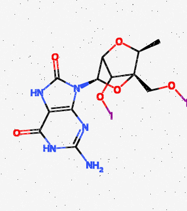 C[C@@H]1OC2C(OI)[C@@]1(COI)O[C@H]2n1c(=O)[nH]c2c(=O)[nH]c(N)nc21